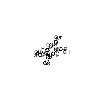 CCOC(=O)C1CCN(CC2CN(c3ccc(C(=N)NC4CC(C(=O)O)CCN4C)cc3)C(=O)O2)CC1.CN1CCC(C(=O)O)CC1NC(=N)c1ccc(N2CC(COS(C)(=O)=O)OC2=O)cc1